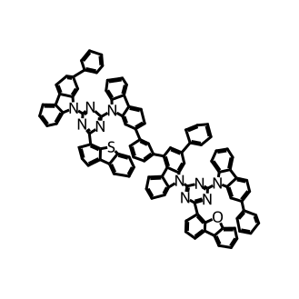 c1ccc(-c2ccc3c4ccccc4n(-c4nc(-c5cccc6c5sc5ccccc56)nc(-n5c6ccccc6c6ccc(-c7cccc(-c8cc(-c9ccccc9)cc9c8c8ccccc8n9-c8nc(-c9cccc%10c9oc9ccccc9%10)nc(-n9c%10ccccc%10c%10ccc(-c%11ccccc%11)cc%109)n8)c7)cc65)n4)c3c2)cc1